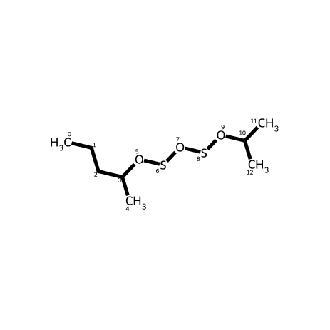 CCCC(C)OSOSOC(C)C